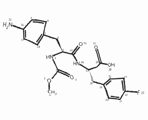 COC(=O)N[C@@H](Cc1ccc(N)cc1)C(=O)N[C@@H](Cc1ccc(F)cc1)C(=O)O